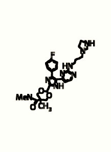 CNC(=O)C1(C)COC(c2nc(-c3ccc(F)cc3)c(-c3ccnc(NCCCN4CCNC4)n3)[nH]2)OC1